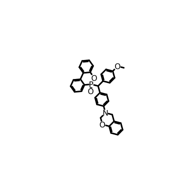 COc1ccc(C(c2ccc(N3COc4ccccc4C3)cc2)P2(=O)Oc3ccccc3-c3ccccc32)cc1